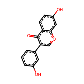 O=c1c(-c2cccc(O)c2)coc2cc(O)ccc12